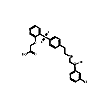 O=C(O)COc1ccccc1S(=O)(=O)c1ccc(CCNC[C@@H](O)c2cccc(Cl)c2)cc1